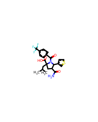 CC(C)CC1(C(=O)O)CC(C(N)=O)C(c2ccsc2)N1C(=O)c1ccc(C(F)(F)F)cc1